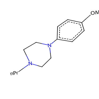 CCCN1CCN(c2ccc(OC)cc2)CC1